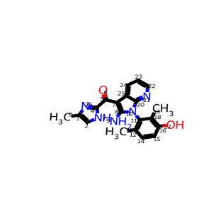 Cc1c[nH]c(C(=O)c2c(N)n(-c3c(C)ccc(O)c3C)c3ncccc23)n1